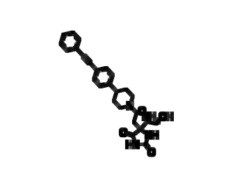 NC(CO)C1(CC(=O)N2CCC(c3ccc(C#Cc4ccccc4)cc3)CC2)NC(=O)NC1=O